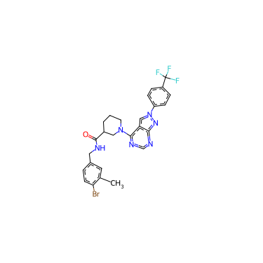 Cc1cc(CNC(=O)C2CCCN(c3ncnc4nn(-c5ccc(C(F)(F)F)cc5)cc34)C2)ccc1Br